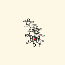 COC(=O)CC1C2(C)CC3(O)C4OC(=O)CC5C(C)(Cc6ccoc6)CCC67OC(C)(OC546)OC3(C2)C17C